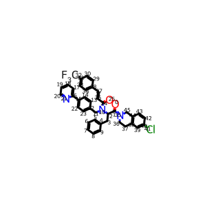 O=C(C(Cc1ccccc1)N(Cc1ccc(-c2ccccn2)cc1)C(=O)C=Cc1ccc(C(F)(F)F)cc1)N1CCc2cc(Cl)ccc2C1